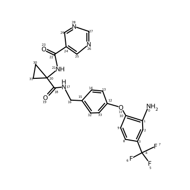 Nc1cc(C(F)(F)F)ccc1Oc1ccc(CNC(=O)C2(NC(=O)c3cncnc3)CC2)cc1